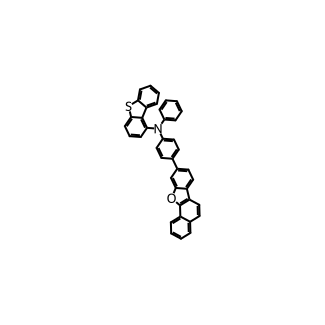 c1ccc(N(c2ccc(-c3ccc4c(c3)oc3c5ccccc5ccc43)cc2)c2cccc3sc4ccccc4c23)cc1